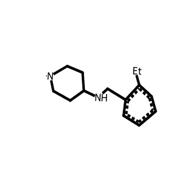 CCc1ccccc1CNC1CC[N]CC1